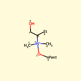 CCCCCO[N+](C)(C)C(CC)CO